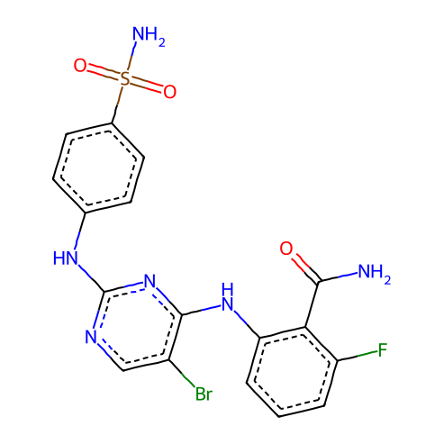 NC(=O)c1c(F)cccc1Nc1nc(Nc2ccc(S(N)(=O)=O)cc2)ncc1Br